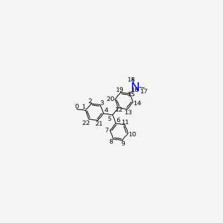 Cc1ccc(C(c2ccccc2)c2ccc(N(C)C)cc2)cc1